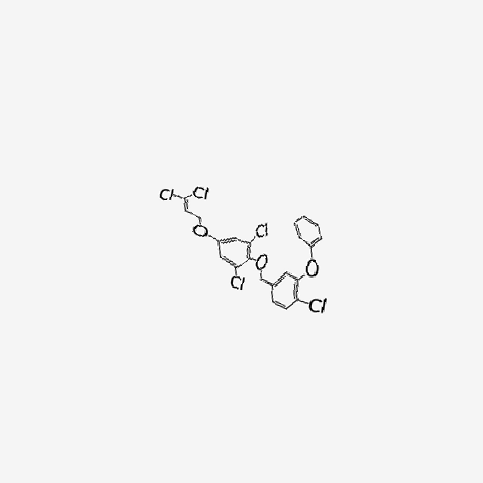 ClC(Cl)=CCOc1cc(Cl)c(OCc2ccc(Cl)c(Oc3ccccc3)c2)c(Cl)c1